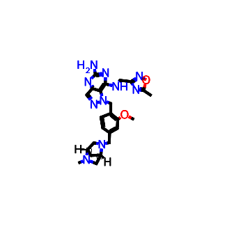 COc1cc(CN2C[C@@H]3C[C@H]2CN3C)ccc1Cn1ncc2nc(N)nc(NCc3noc(C)n3)c21